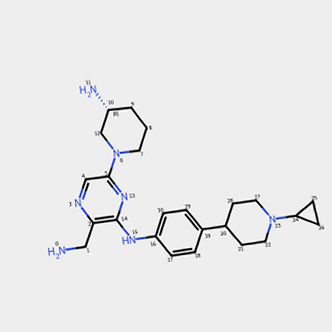 NCc1ncc(N2CCC[C@@H](N)C2)nc1Nc1ccc(C2CCN(C3CC3)CC2)cc1